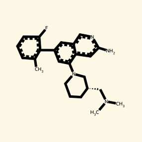 Cc1cccc(F)c1-c1cc(N2CCC[C@@H](CN(C)C)C2)c2cc(N)ncc2c1